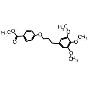 COC(=O)c1ccc(OCCCc2cc(OC)c(OC)c(OC)c2)cc1